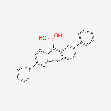 OB(O)c1c2ccc(-c3ccccc3)cc2cc2ccc(-c3ccccc3)cc12